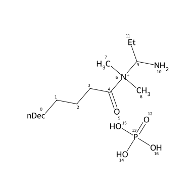 CCCCCCCCCCCCCC(=O)[N+](C)(C)C(N)CC.O=P(O)(O)O